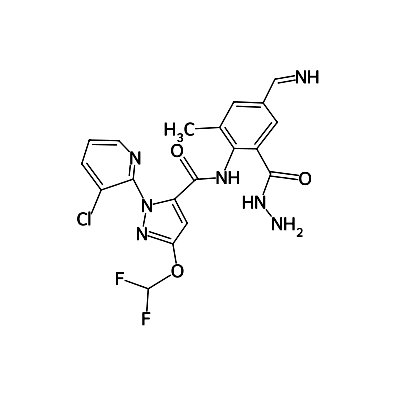 Cc1cc(C=N)cc(C(=O)NN)c1NC(=O)c1cc(OC(F)F)nn1-c1ncccc1Cl